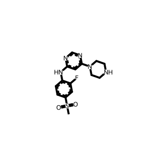 CS(=O)(=O)c1ccc(Nc2cc(N3CCNCC3)ncn2)c(F)c1